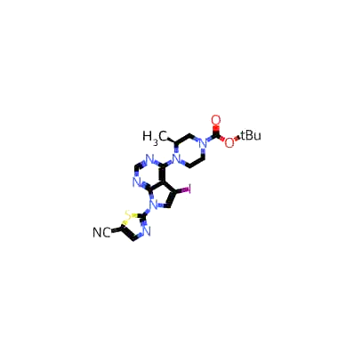 C[C@H]1CN(C(=O)OC(C)(C)C)CCN1c1ncnc2c1c(I)cn2-c1ncc(C#N)s1